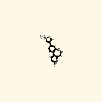 Cn1cc(-c2ccc3c(c2)OCCc2nc(Cl)ccc2-3)cn1